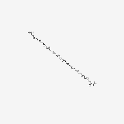 CNCCOCCOCCOCCOCCOCCOCCOCCOCCOCCOCCOCCOCCC(=O)C(C)(C)C